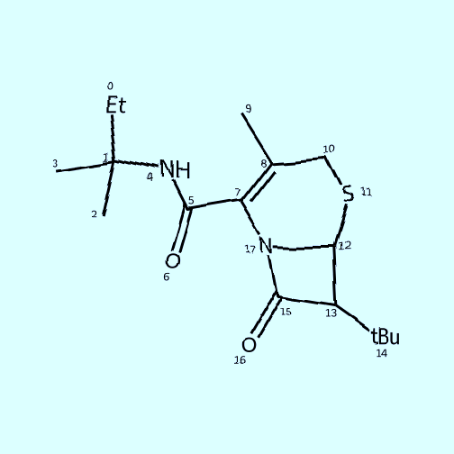 CCC(C)(C)NC(=O)C1=C(C)CSC2C(C(C)(C)C)C(=O)N12